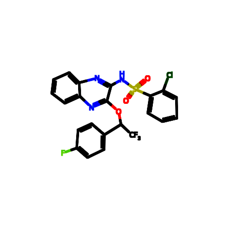 O=S(=O)(Nc1nc2ccccc2nc1OC(c1ccc(F)cc1)C(F)(F)F)c1ccccc1Cl